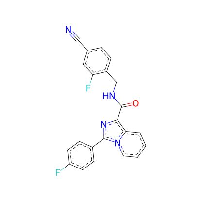 N#Cc1ccc(CNC(=O)c2nc(-c3ccc(F)cc3)n3ccccc23)c(F)c1